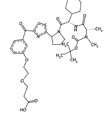 C[C@@H](C(=O)N[C@H](C(=O)N1CCCC1c1nc(C(=O)c2cccc(OCCOCCC(=O)O)c2)cs1)C1CCCCC1)N(C)C(=O)OC(C)(C)C